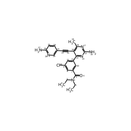 CCN(CC)C(=O)c1cc(Cl)cc(-c2nc(N)nc(C)c2C#Cc2ccc(N)nc2)c1